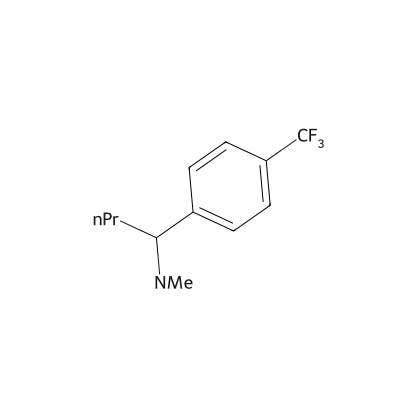 CCCC(NC)c1ccc(C(F)(F)F)cc1